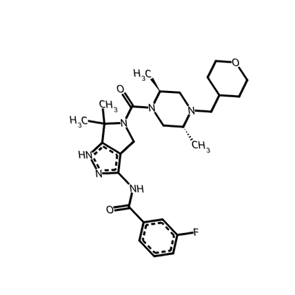 C[C@@H]1CN(C(=O)N2Cc3c(NC(=O)c4cccc(F)c4)n[nH]c3C2(C)C)[C@@H](C)CN1CC1CCOCC1